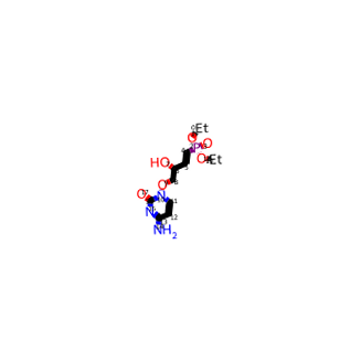 CCOP(=O)(/C=C/C(O)COn1ccc(N)nc1=O)OCC